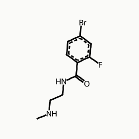 CNCCNC(=O)c1ccc(Br)cc1F